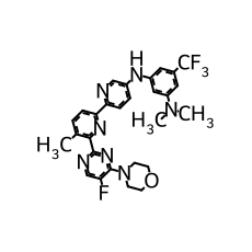 Cc1ccc(-c2ccc(Nc3cc(N(C)C)cc(C(F)(F)F)c3)cn2)nc1-c1ncc(F)c(N2CCOCC2)n1